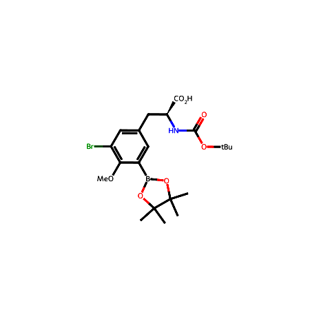 COc1c(Br)cc(C[C@H](NC(=O)OC(C)(C)C)C(=O)O)cc1B1OC(C)(C)C(C)(C)O1